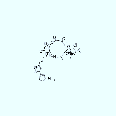 CC[C@H]1OC(=O)[C@H](C)C(=O)[C@H](C)[C@@H](O[C@@H]2OC(C)CC(N(C)C)C2O)[C@@](C)(OC)C[C@@H](C)CN[C@H](C)[C@H]2N(CCCCn3cc(-c4cccc(N)c4)nn3)C(=O)O[C@]12C